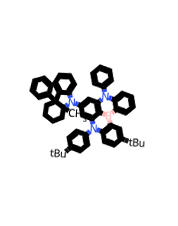 CC(C)(C)c1ccc(N2c3ccc(C(C)(C)C)cc3B3c4ccccc4N(c4ccccc4)c4cc(N5c6ccccc6C6(c7ccccc7)CCCCC56C)cc2c43)cc1